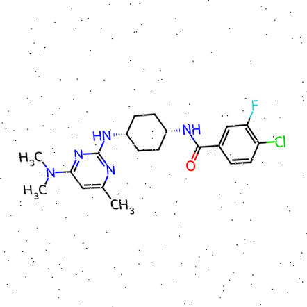 Cc1cc(N(C)C)nc(N[C@H]2CC[C@@H](NC(=O)c3ccc(Cl)c(F)c3)CC2)n1